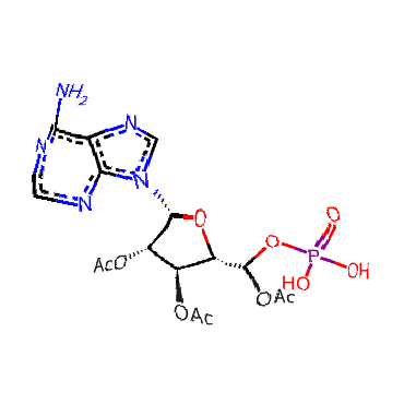 CC(=O)OC(OP(=O)(O)O)[C@H]1O[C@@H](n2cnc3c(N)ncnc32)[C@@H](OC(C)=O)[C@@H]1OC(C)=O